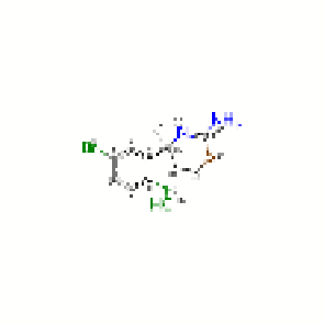 C[C@@]1(c2cc(Br)ccc2F)CCSC(N)=N1.Cl